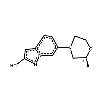 C[C@H]1CN(c2ccc3cc(O)nn3c2)CCO1